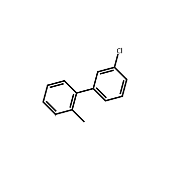 Cc1[c]cccc1-c1cccc(Cl)c1